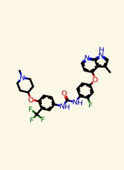 Cc1c[nH]c2nccc(Oc3ccc(NC(=O)Nc4ccc(OC5CCN(C)CC5)c(C(F)(F)F)c4)c(F)c3)c12